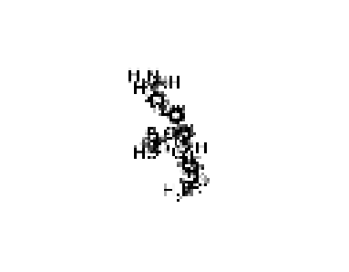 CC(C)(N)C(=O)N1CCN(C(=O)Nc2ccn(-c3cccc(CN4CCC(NC(=N)N)CC4)c3)c(=O)n2)CC1.O=C(O)C(F)(F)F